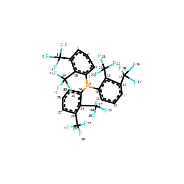 FC(F)(F)c1cccc(P(c2cccc(C(F)(F)F)c2C(F)(F)F)c2cccc(C(F)(F)F)c2C(F)(F)F)c1C(F)(F)F